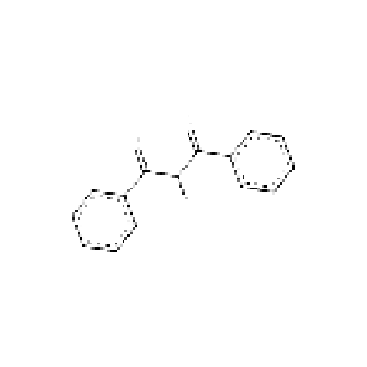 O=C(c1ccccc1)C(Cl)C(=O)c1ccccc1